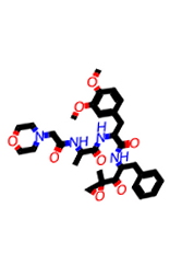 COc1ccc(CC(NC(=O)C(C)NC(=O)CN2CCOCC2)C(=O)NC(Cc2ccccc2)C(=O)C2(C)CO2)cc1OC